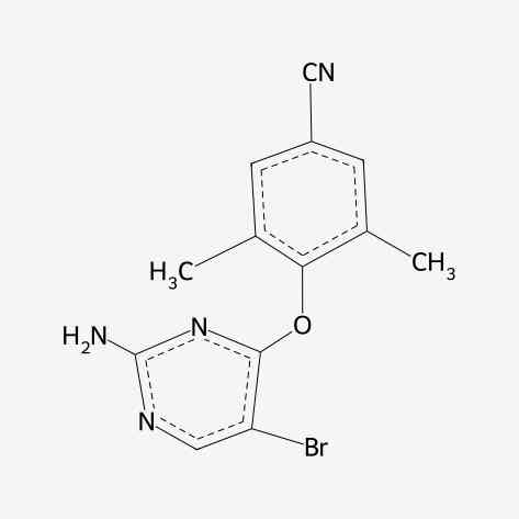 Cc1cc(C#N)cc(C)c1Oc1nc(N)ncc1Br